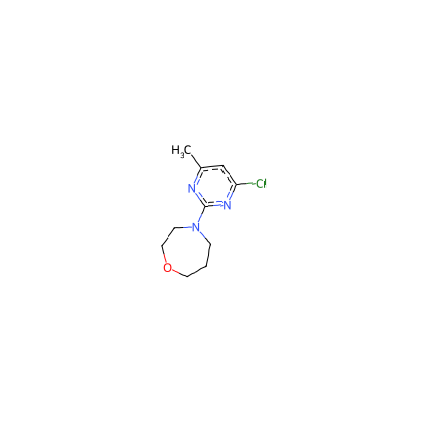 Cc1cc(Cl)nc(N2CCCOCC2)n1